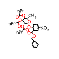 CCCC(=O)O[C@@H]1[C@@H](OC(=O)CCC)[C@H](C)O[C@@H](Oc2ccc([N+](=O)[O-])cc2C(=O)OCc2ccccc2)[C@@H]1OC(=O)CCC